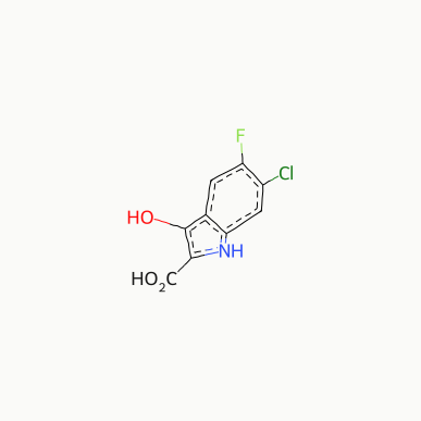 O=C(O)c1[nH]c2cc(Cl)c(F)cc2c1O